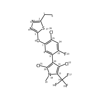 CCc1nnc(Oc2cc(-c3c(Cl)c(C(F)(F)F)n(C)c3Cl)c(F)cc2Cl)s1